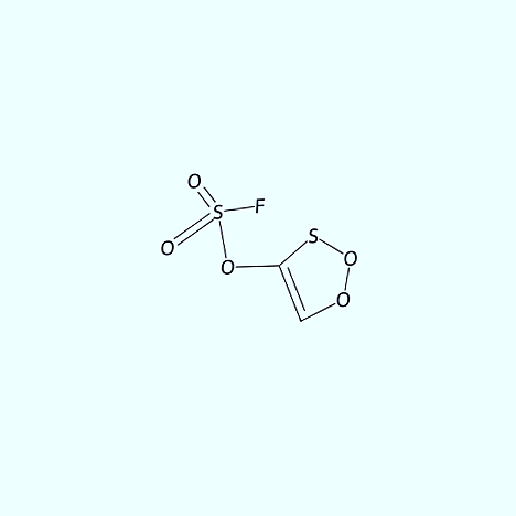 O=S(=O)(F)OC1=COOS1